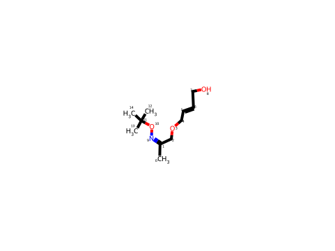 CC(COCC=CCO)=NOC(C)(C)C